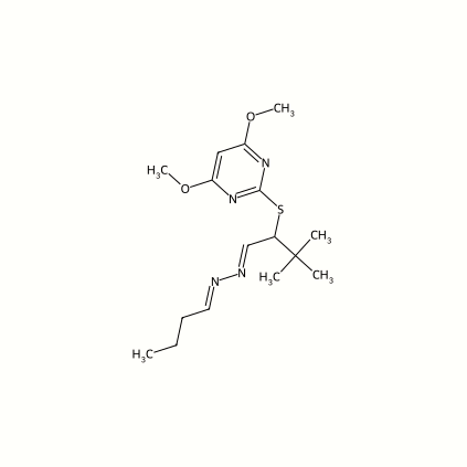 CCCC=NN=CC(Sc1nc(OC)cc(OC)n1)C(C)(C)C